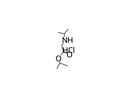 CC(C)NCC(=O)OC(C)C.Cl